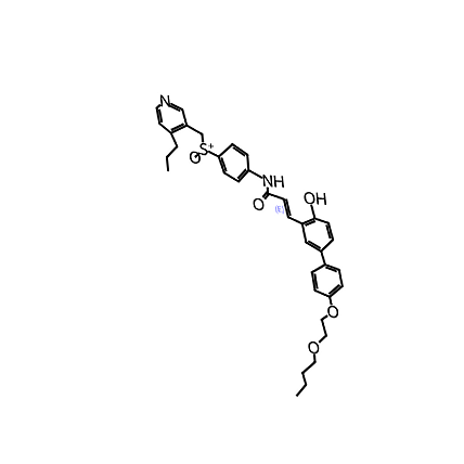 CCCCOCCOc1ccc(-c2ccc(O)c(/C=C/C(=O)Nc3ccc([S+]([O-])Cc4cnccc4CCC)cc3)c2)cc1